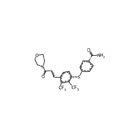 NC(=O)c1[c]cc(Sc2ccc(C=CC(=O)N3CCOCC3)c(C(F)(F)F)c2C(F)(F)F)cc1